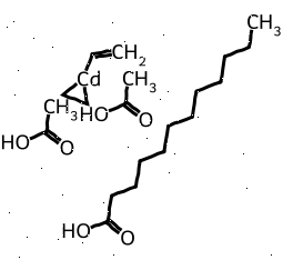 C=[CH][Cd]1[CH2][CH2]1.CC(=O)O.CC(=O)O.CCCCCCCCCCCC(=O)O